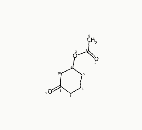 CC(=O)OC1CCCC(=O)C1